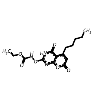 CCCCCc1cc(=O)oc2nc(ONC(=O)OCC)[nH]c(=O)c12